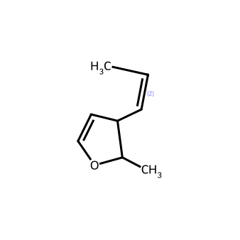 C/C=C\C1C=COC1C